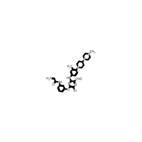 C=CC(=O)Nc1cccc(Oc2nc(Nc3ccc(N4CCC(N5CCN(C)CC5)CC4)c(C)c3)c(C=O)nc2CC)c1